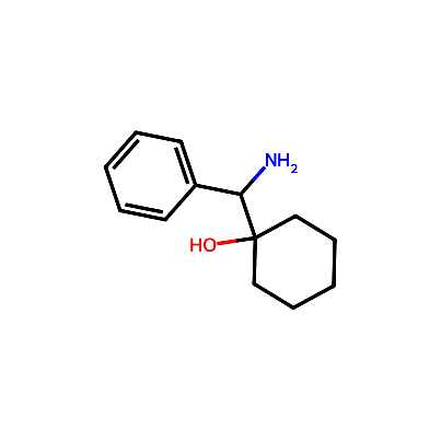 NC(c1ccccc1)C1(O)CCCCC1